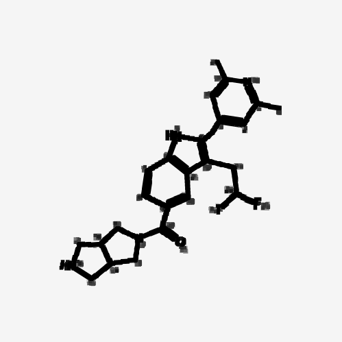 Cc1cc(-c2[nH]c3ccc(C(=O)N4CC5CNCC5C4)cc3c2CC(F)F)cc(C)n1